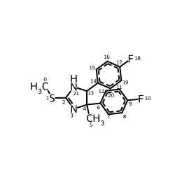 CSC1=NC(C)(c2ccc(F)cc2)C(c2ccc(F)cc2)N1